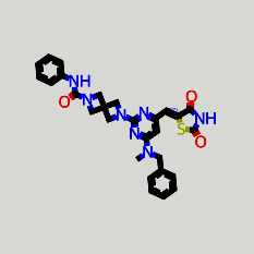 CN(Cc1ccccc1)c1cc(/C=C2\SC(=O)NC2=O)nc(N2CC3(CN(C(=O)Nc4ccccc4)C3)C2)n1